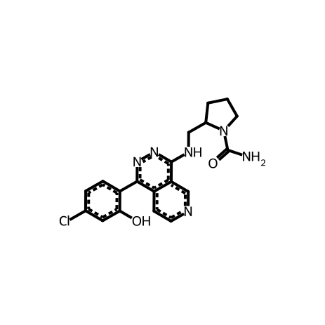 NC(=O)N1CCCC1CNc1nnc(-c2ccc(Cl)cc2O)c2ccncc12